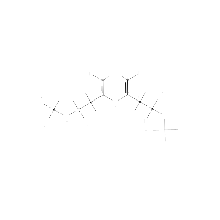 FC(F)=C(OC(=C(F)F)C(F)(F)C(F)(F)OC(F)(F)C(F)(F)F)C(F)(F)C(F)(F)OC(F)(F)C(F)(F)F